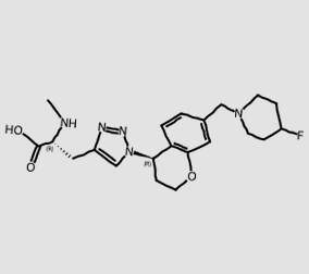 CN[C@H](Cc1cn([C@@H]2CCOc3cc(CN4CCC(F)CC4)ccc32)nn1)C(=O)O